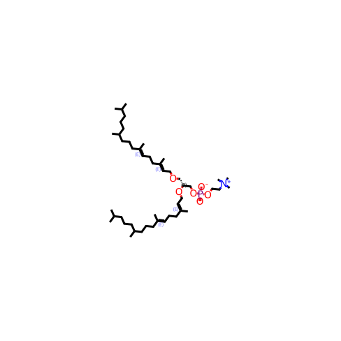 C/C(=C\COC[C@H](COP(=O)([O-])OCC[N+](C)(C)C)OC/C=C(\C)CC/C=C(\C)CCCC(C)CCCC(C)C)CC/C=C(\C)CCCC(C)CCCC(C)C